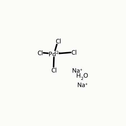 O.[Cl][Pd-2]([Cl])([Cl])[Cl].[Na+].[Na+]